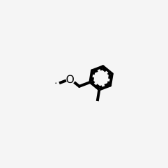 [CH2]OCc1ccccc1C